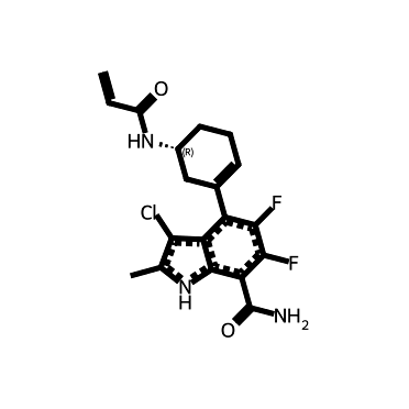 C=CC(=O)N[C@@H]1CCC=C(c2c(F)c(F)c(C(N)=O)c3[nH]c(C)c(Cl)c23)C1